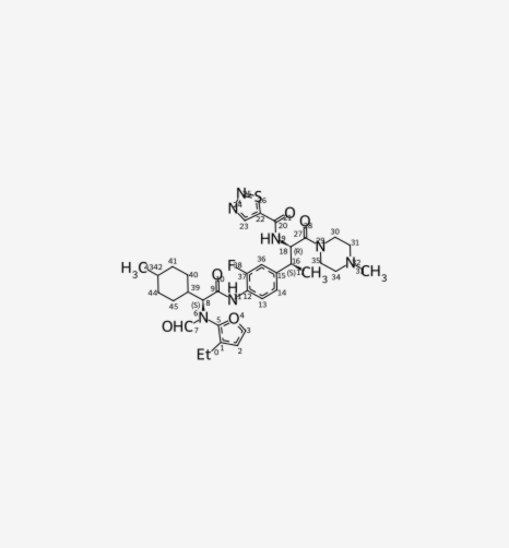 CCc1ccoc1N(C=O)[C@H](C(=O)Nc1ccc([C@H](C)[C@@H](NC(=O)c2cnns2)C(=O)N2CCN(C)CC2)cc1F)C1CCC(C)CC1